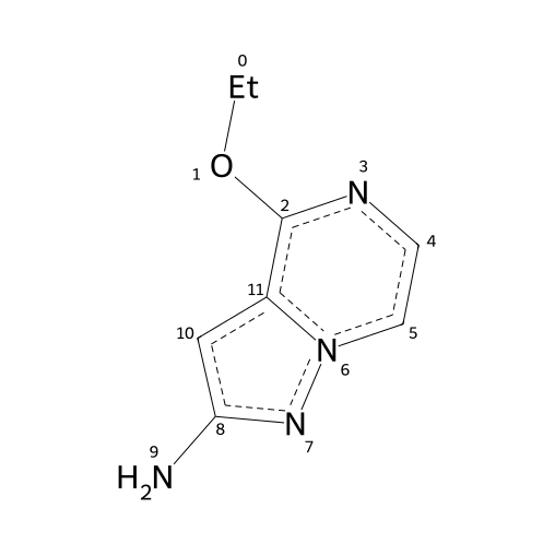 CCOc1nccn2nc(N)cc12